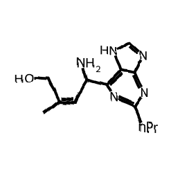 CCCc1nc(C(N)C=C(C)CO)c2[nH]cnc2n1